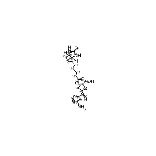 Nc1ncnc2c1ncn2[C@H]1C[C@@H](OC(=O)CCCC[C@@H]2SC[C@@H]3NC(=O)N[C@@H]32)[C@@H](CO)O1